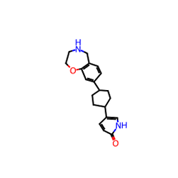 O=c1ccc(C2CCC(c3ccc4c(c3)OCCNC4)CC2)c[nH]1